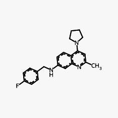 Cc1cc(N2CCCC2)c2ccc(NCc3ccc(F)cc3)cc2n1